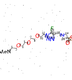 CNCCOCCOCCOCCn1nnc(CN2CC(S(C)(=O)=O)C2)c1F